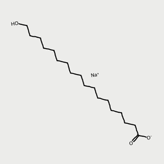 O=C([O-])CCCCCCCCCCCCCCCCCO.[Na+]